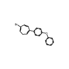 BrC1=CCC=C(c2ccc(Oc3ccccc3)cc2)C=C1